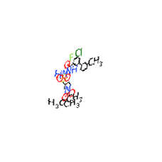 Cc1cccc(-c2cc(Cl)c(F)c(C(=O)NNS(=O)(=O)CC3CCN(C(=O)OC(C)(C)C)C3)c2)c1